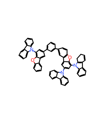 C1=Cc2c(n(-c3cc(-n4c5ccccc5c5ccccc54)cc4c3oc3ccc(-c5cccc(-c6cc(-n7c8ccccc8c8ccccc87)c7oc8ccccc8c7c6)c5)cc34)c3ccccc23)CC1